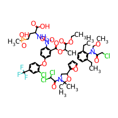 CC1(C)OC(c2ccco2)CN1C(=O)C(Cl)Cl.CCOC(=O)C(C)OC(=O)c1cc(Oc2ccc(C(F)(F)F)cc2Cl)ccc1[N+](=O)[O-].CCc1cccc(CC)c1N(COC)C(=O)CCl.CP(=O)(O)CCC(N)C(=O)O